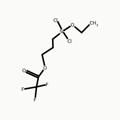 CCO[Si](Cl)(Cl)CCCOC(=O)C(F)(F)F